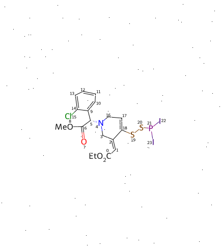 CCOC(=O)/C=C1\CN([C@H](C(=O)OC)c2ccccc2Cl)CC=C1SSP(I)I